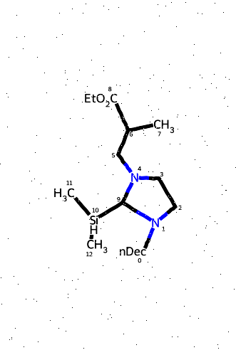 CCCCCCCCCCN1CCN(CC(C)C(=O)OCC)C1[SiH](C)C